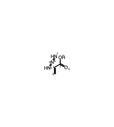 C=CC(=O)O.N=[N+]=N